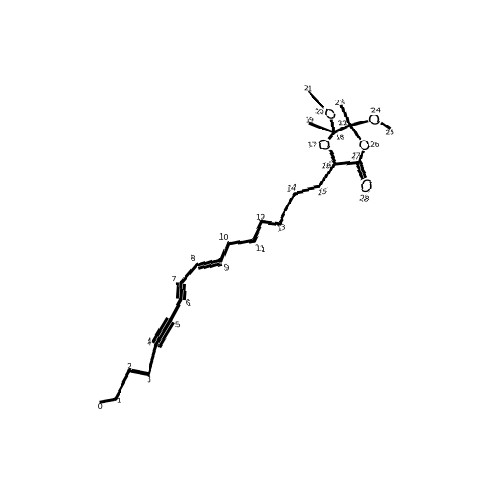 CCCCC#CC#CC=CCCCCCCC1OC(C)(OC)C(C)(OC)OC1=O